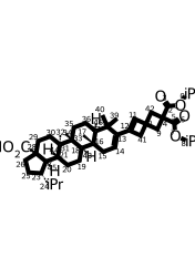 CC(C)OC(=O)C1(C(=O)OC(C)C)CC2(C=C(C3=CC[C@]4(C)[C@H]5CC[C@@H]6[C@H]7[C@H](C(C)C)CC[C@]7(C(=O)O)CC[C@@]6(C)[C@]5(C)CC[C@H]4C3(C)C)C2)C1